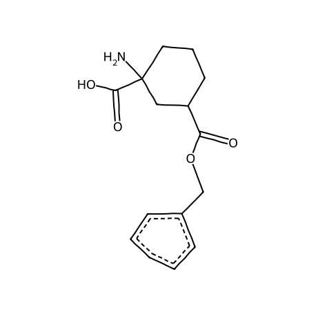 NC1(C(=O)O)CCCC(C(=O)OCc2ccccc2)C1